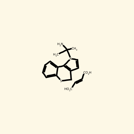 CC(C)(N)n1ccc2c1-c1ccccc1SC2.O=C(O)C=CC(=O)O